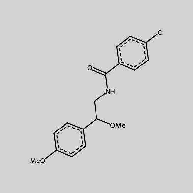 COc1ccc(C(CNC(=O)c2ccc(Cl)cc2)OC)cc1